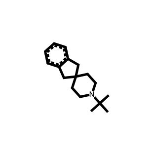 CC(C)(C)N1CCC2(CC1)Cc1ccccc1C2